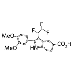 COc1ccc(-c2[nH]c3ccc(C(=O)O)cc3c2C(F)C(F)F)cc1OC